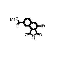 COC(=O)c1ccc2cc(C(C)C)c3c(c2c1)C(=O)NC3=O